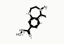 CC(=O)N1CCOc2cc(C(=O)NO)ccc2C1C